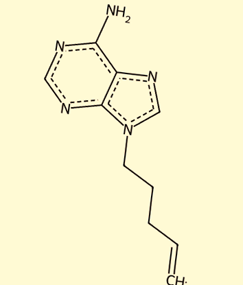 [CH]=CCCCn1cnc2c(N)ncnc21